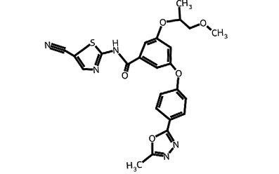 COCC(C)Oc1cc(Oc2ccc(-c3nnc(C)o3)cc2)cc(C(=O)Nc2ncc(C#N)s2)c1